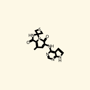 Cc1cc(Nc2ncnc3[nH]ccc23)c(=O)n2c1C(=O)NC21CSC1